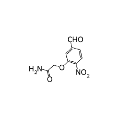 NC(=O)COc1cc(C=O)ccc1[N+](=O)[O-]